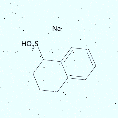 O=S(=O)(O)C1CCCc2ccccc21.[Na]